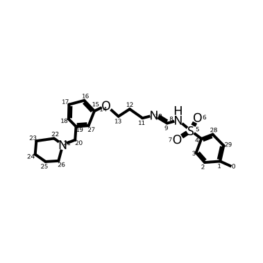 Cc1ccc(S(=O)(=O)NC=NCCCOc2cccc(CN3CCCCC3)c2)cc1